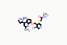 CNC(=O)CSc1cncc(Cl)c1COc1cccc2c(-c3ccnn3C)cc(C)nc12